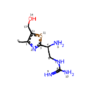 Cc1nc(C(N)CNC(=N)N)sc1CO